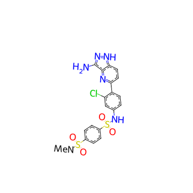 CNS(=O)(=O)c1ccc(S(=O)(=O)Nc2ccc(-c3ccc4[nH]nc(N)c4n3)c(Cl)c2)cc1